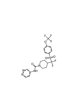 O=C(Nc1ccnnc1)N1CCC(C(F)(F)S(=O)(=O)c2ccc(OC(F)(F)F)cc2)CC1